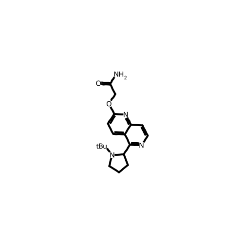 CC(C)(C)N1CCCC1c1nccc2nc(OCC(N)=O)ccc12